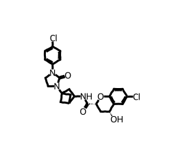 O=C(NC1CC2(N3CCN(c4ccc(Cl)cc4)C3=O)CC1C2)[C@H]1C[C@@H](O)c2cc(Cl)ccc2O1